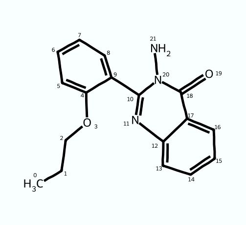 CCCOc1ccccc1-c1nc2ccccc2c(=O)n1N